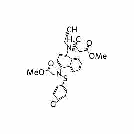 C#CCN(c1ccc(N(CC(=O)OC)Sc2ccc(Cl)cc2)c2ccccc12)[C@@H](C)CC(=O)OC